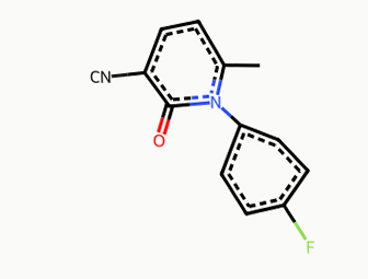 [C-]#[N+]c1ccc(C)n(-c2ccc(F)cc2)c1=O